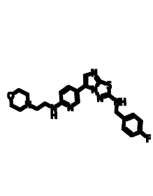 Fc1ccc(CNc2nn3c(-c4ccc(NCCN5CCOCC5)nc4)cnc3s2)cc1